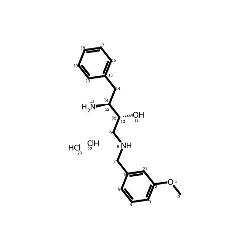 COc1cccc(CNC[C@@H](O)[C@@H](N)Cc2ccccc2)c1.Cl.Cl